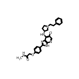 CNC(=O)COc1ccc(-c2nc3c(N[C@H]4CCN(CCc5ccccc5)C4)c(Cl)cnc3[nH]2)cc1